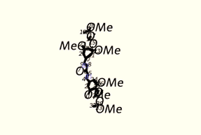 COc1cc(/C=C/C(=O)/C=C/c2cc(OC)c(OCOC(C)OC)c(OC)c2)cc(OC)c1OCOC(C)OC